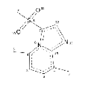 Cc1ccc(C)n2c(S(C)(=O)=O)cnc12